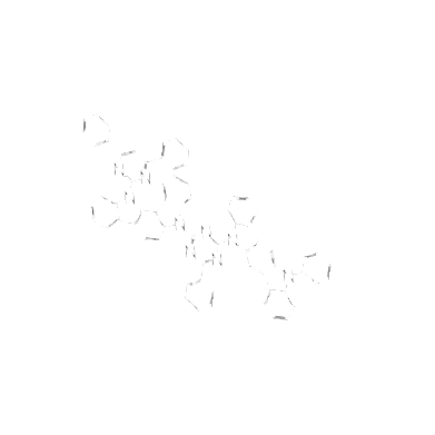 c1ccc(-c2cc(-c3ccccc3)nc(-n3c4ccccc4c4ccc5c(c6ccccc6n5-c5nc(-c6ccccc6)nc(-n6c7ccccc7c7cc8c(cc76)c6ccccc6n8-c6ccccc6)n5)c43)n2)cc1